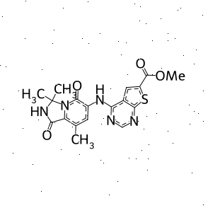 COC(=O)c1cc2c(Nc3cc(C)c4n(c3=O)C(C)(C)NC4=O)ncnc2s1